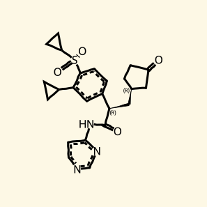 O=C1CC[C@H](C[C@@H](C(=O)Nc2ccncn2)c2ccc(S(=O)(=O)C3CC3)c(C3CC3)c2)C1